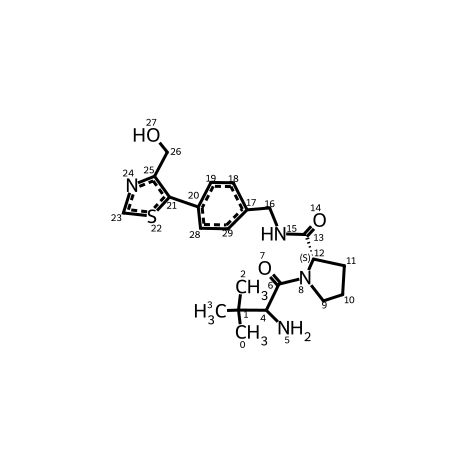 CC(C)(C)C(N)C(=O)N1CCC[C@H]1C(=O)NCc1ccc(-c2scnc2CO)cc1